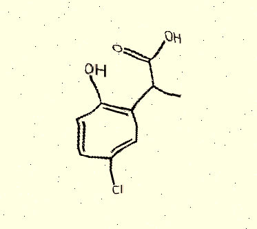 CC(C(=O)O)c1cc(Cl)ccc1O